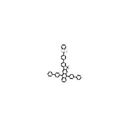 CC1(C)c2cc(-c3ccc(-c4nc5ccccc5s4)cc3)ccc2-c2cc3c(-c4ccc(-c5ccccc5)cc4)c4ccccc4c(-c4ccc(-c5ccccc5)cc4)c3cc21